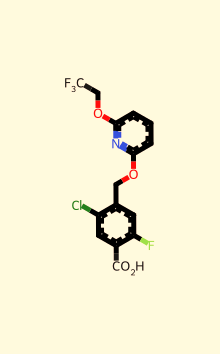 O=C(O)c1cc(Cl)c(COc2cccc(OCC(F)(F)F)n2)cc1F